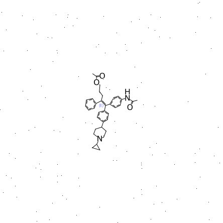 CC(=O)Nc1ccc(/C(=C(\CCCOC(C)=O)c2ccccc2)c2ccc(C3CCN(C4CC4)CC3)cc2)cc1